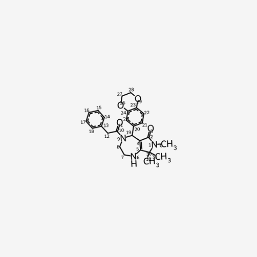 CN1C(=O)C2=C(NCCN(C(=O)Cc3ccccc3)C2c2ccc3c(c2)OCCO3)C1(C)C